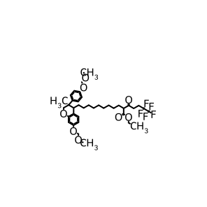 CCOC(=O)C(CCCCCCCCCC1c2ccc(OCOC)cc2OCC1(C)c1ccc(OCOC)cc1)C(=O)CCC(F)(F)C(F)(F)F